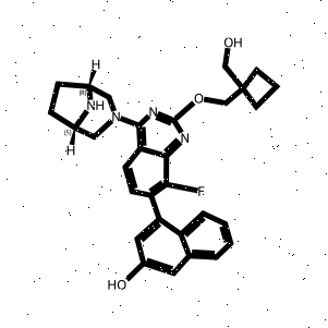 OCC1(COc2nc(N3C[C@H]4CC[C@@H](C3)N4)c3ccc(-c4cc(O)cc5ccccc45)c(F)c3n2)CCC1